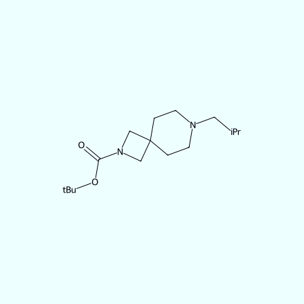 CC(C)CN1CCC2(CC1)CN(C(=O)OC(C)(C)C)C2